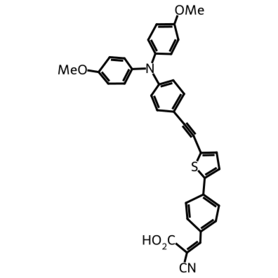 COc1ccc(N(c2ccc(C#Cc3ccc(-c4ccc(C=C(C#N)C(=O)O)cc4)s3)cc2)c2ccc(OC)cc2)cc1